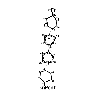 CCCCC[C@H]1CC[C@H](c2ccc(-c3ccc([C@H]4CO[C@H](CC)CO4)cc3)cc2)CC1